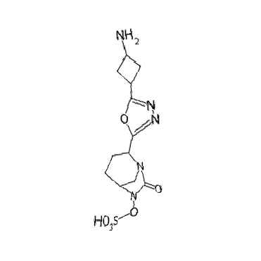 NC1CC(c2nnc(C3CCC4CN3C(=O)N4OS(=O)(=O)O)o2)C1